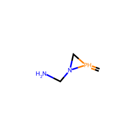 C=[PH]1CN1CN